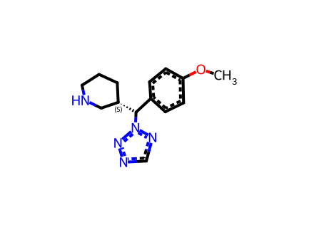 COc1ccc(C([C@H]2CCCNC2)n2ncnn2)cc1